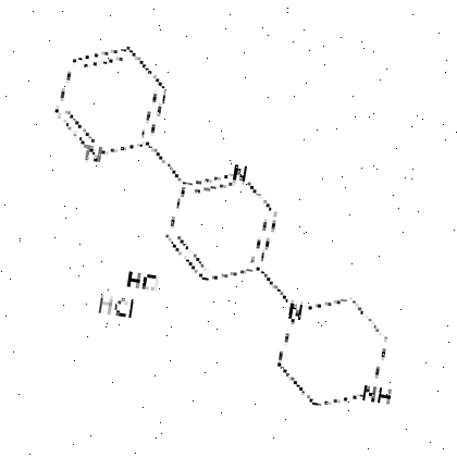 Cl.Cl.c1ccc(-c2ccc(N3CCNCC3)cn2)nc1